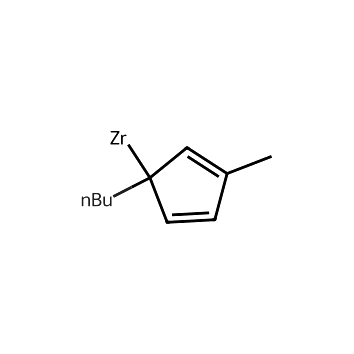 CCCC[C]1([Zr])C=CC(C)=C1